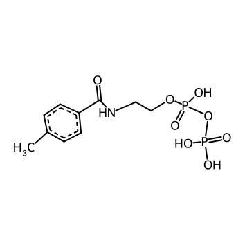 Cc1ccc(C(=O)NCCOP(=O)(O)OP(=O)(O)O)cc1